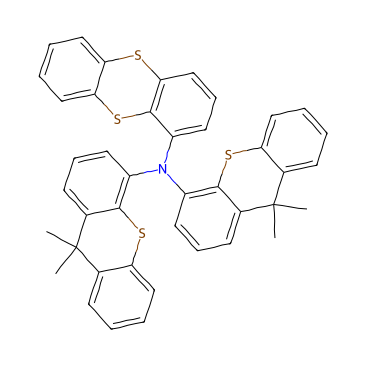 CC1(C)c2ccccc2Sc2c(N(c3cccc4c3Sc3ccccc3S4)c3cccc4c3Sc3ccccc3C4(C)C)cccc21